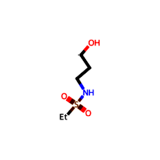 CCS(=O)(=O)NCC[CH]O